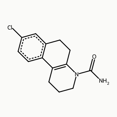 NC(=O)N1CCCC2=C1CCc1cc(Cl)ccc12